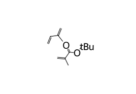 C=C(C)C(=O)OC(C)(C)C.C=CC(=C)C